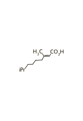 C/C(=C\C(=O)O)CCCCC(C)C